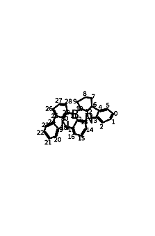 c1ccc2c(c1)C1CCCC3B4c5c(cccc5-n5c6ccccc6c6cccc4c65)N2C31